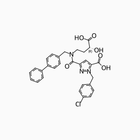 O=C(O)c1cc(C(=O)N(CC[C@@H](O)C(=O)O)Cc2ccc(-c3ccccc3)cc2)nn1Cc1ccc(Cl)cc1